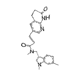 Cc1ccc2c(CN(C)C(=O)/C=C/c3cnc4c(c3)CCC(=O)N4)cn(C)c2c1